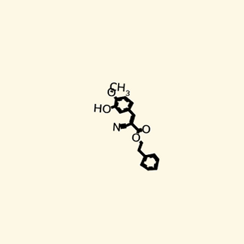 COc1ccc(/C=C(\C#N)C(=O)OCCc2ccccc2)cc1O